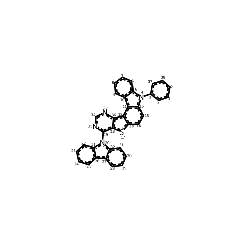 c1ccc(-n2c3ccccc3c3c4c(ccc32)sc2c(-n3c5ccccc5c5ccccc53)ncnc24)cc1